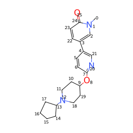 Cn1cc(-c2ccc(OC3CCN(C4CCCC4)CC3)nc2)ccc1=O